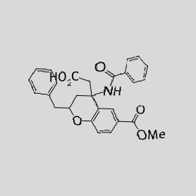 COC(=O)c1ccc2c(c1)C(CC(=O)O)(NC(=O)c1ccccc1)CC(Cc1ccccc1)O2